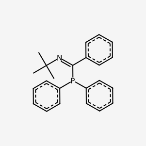 CC(C)(C)N=C(c1ccccc1)P(c1ccccc1)c1ccccc1